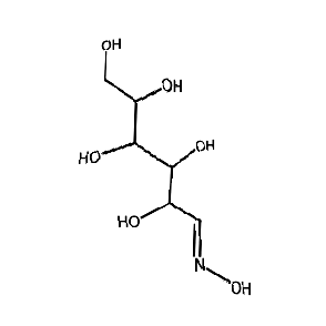 OCC(O)C(O)C(O)C(O)C=NO